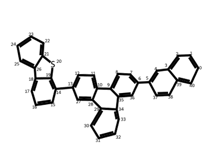 c1ccc2cc(-c3ccc4c5ccc(-c6cccc7c6sc6ccccc67)cc5c5ccccc5c4c3)ccc2c1